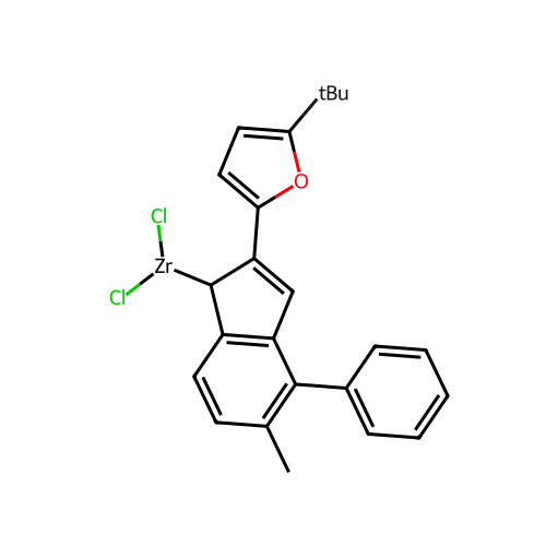 Cc1ccc2c(c1-c1ccccc1)C=C(c1ccc(C(C)(C)C)o1)[CH]2[Zr]([Cl])[Cl]